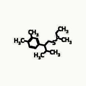 CCP(C)SCC(c1ccc(C)c(C)c1)C(C)C